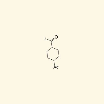 CC(=O)C1CCC(C(=O)I)CC1